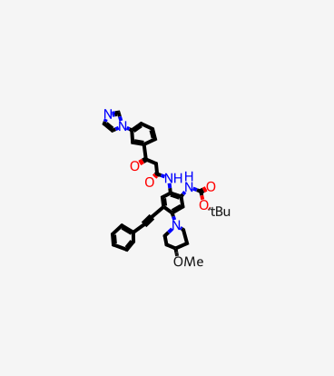 COC1CCN(c2cc(NC(=O)OC(C)(C)C)c(NC(=O)CC(=O)c3cccc(-n4ccnc4)c3)cc2C#Cc2ccccc2)CC1